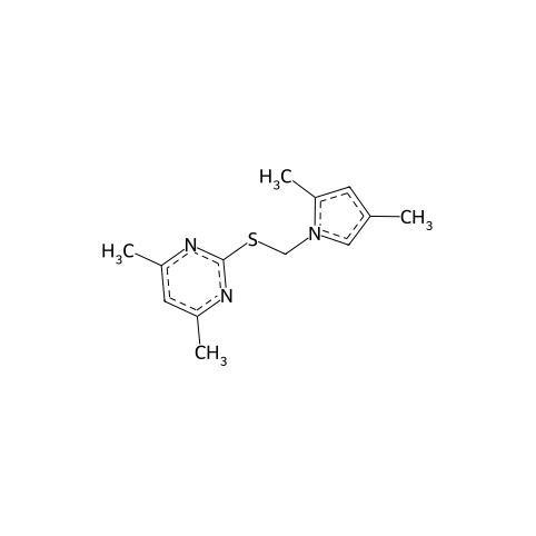 Cc1cc(C)n(CSc2nc(C)cc(C)n2)c1